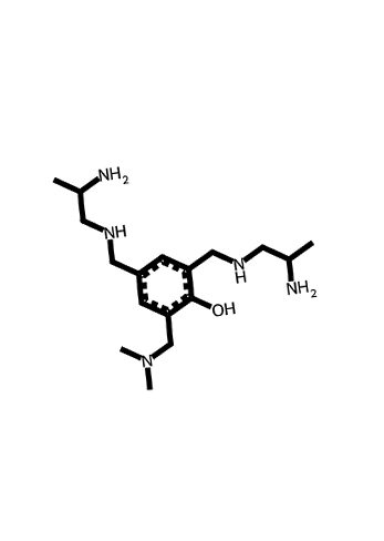 CC(N)CNCc1cc(CNCC(C)N)c(O)c(CN(C)C)c1